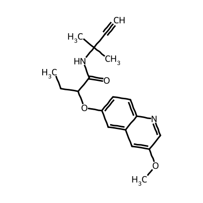 C#CC(C)(C)NC(=O)C(CC)Oc1ccc2ncc(OC)cc2c1